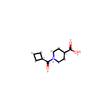 O=C(O)C1CCN(C(=O)C2CCC2)CC1